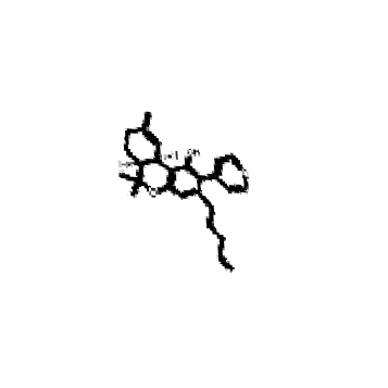 CCCCCc1cc2c(c(O)c1-c1ccncc1)[C@@H]1C=C(C)CC[C@H]1C(C)(C)O2